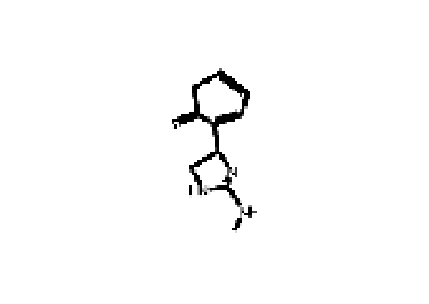 CNC1=NC(C2=CC=CCC2=S)CN1